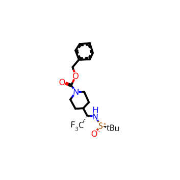 CC(C)(C)[S@@+]([O-])N[C@@H](C1CCN(C(=O)OCc2ccccc2)CC1)C(F)(F)F